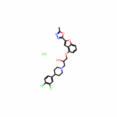 Cc1nnc(-c2cc3c(OCC(O)CN4CCC(c5ccc(Cl)c(Cl)c5)CC4)cccc3o2)o1.Cl